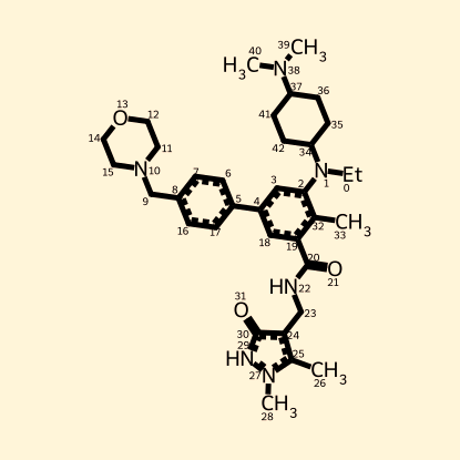 CCN(c1cc(-c2ccc(CN3CCOCC3)cc2)cc(C(=O)NCc2c(C)n(C)[nH]c2=O)c1C)C1CCC(N(C)C)CC1